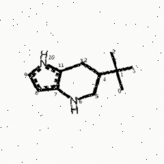 CC(C)(C)C1CNc2cc[nH]c2C1